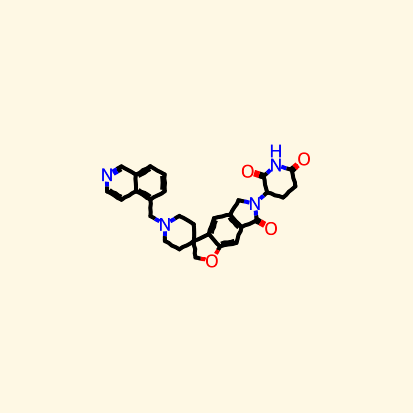 O=C1CCC(N2Cc3cc4c(cc3C2=O)OCC42CCN(Cc3cccc4cnccc34)CC2)C(=O)N1